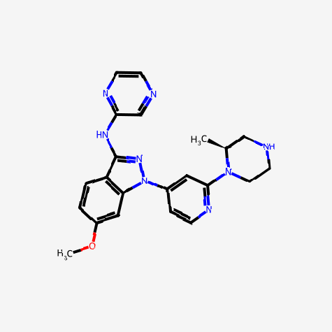 COc1ccc2c(Nc3cnccn3)nn(-c3ccnc(N4CCNC[C@@H]4C)c3)c2c1